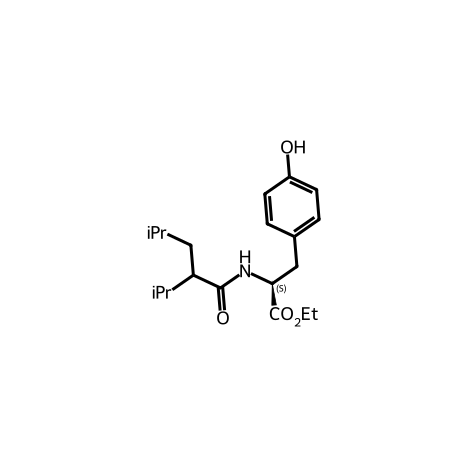 CCOC(=O)[C@H](Cc1ccc(O)cc1)NC(=O)C(CC(C)C)C(C)C